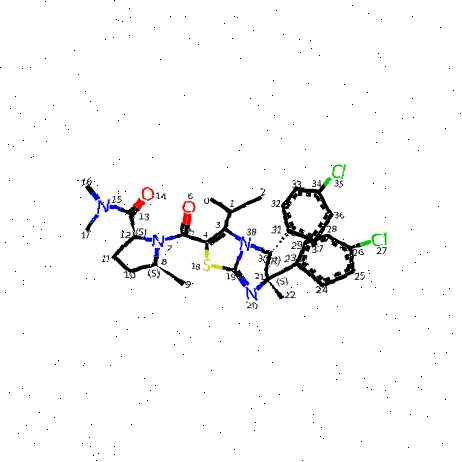 CC(C)C1=C(C(=O)N2[C@@H](C)CC[C@H]2C(=O)N(C)C)SC2=N[C@@](C)(c3ccc(Cl)cc3)[C@@H](c3ccc(Cl)cc3)N21